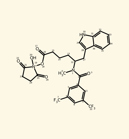 CN(C(=O)c1cc(C(F)(F)F)cc(C(F)(F)F)c1)C(CCCC(=O)O[N+]1(O)C(=O)CCC1=O)Cc1c[nH]c2ccccc12